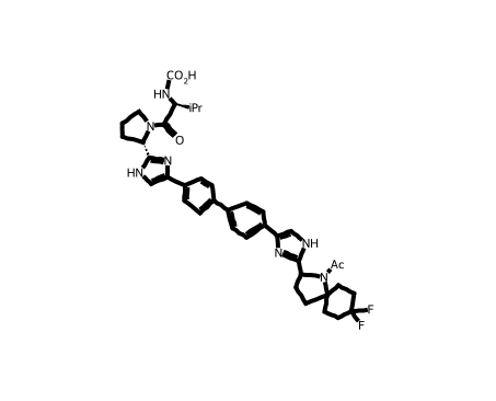 CC(=O)N1C(c2nc(-c3ccc(-c4ccc(-c5c[nH]c([C@@H]6CCCN6C(=O)[C@@H](NC(=O)O)C(C)C)n5)cc4)cc3)c[nH]2)CCC12CCC(F)(F)CC2